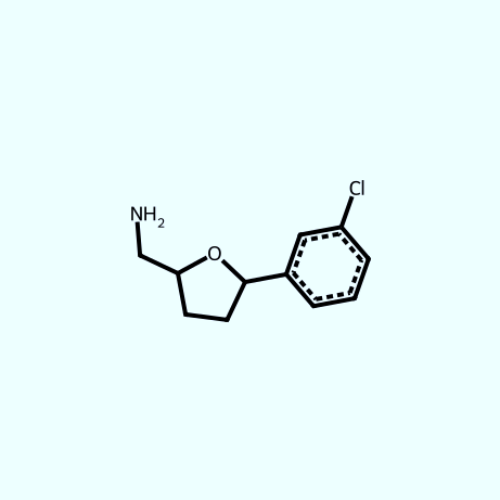 NCC1CCC(c2cccc(Cl)c2)O1